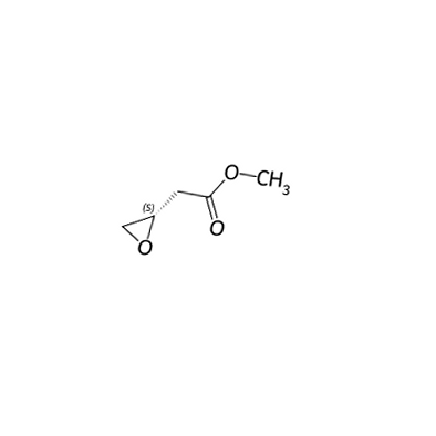 COC(=O)C[C@H]1CO1